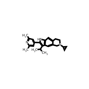 Cc1cc(-c2[nH]c3cc4c(cc3c2C(C)C)CN(C2CC2)CC4)cc(C)n1